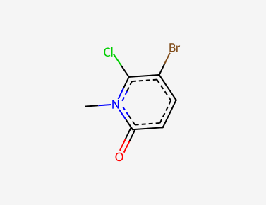 Cn1c(Cl)c(Br)ccc1=O